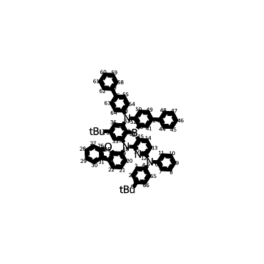 CC(C)(C)c1ccc(N(c2ccccc2)c2ccc3c(n2)N(c2cccc4c2oc2ccccc24)c2cc(C(C)(C)C)cc4c2B3c2cc(-c3ccccc3)ccc2N4c2ccc(-c3ccccc3)cc2)cc1